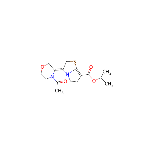 CC(=O)N1CCOCC1=C1CSC2=C(C(=O)OC(C)C)CCN12